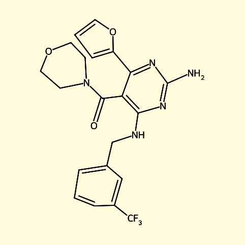 Nc1nc(NCc2cccc(C(F)(F)F)c2)c(C(=O)N2CCOCC2)c(-c2ccco2)n1